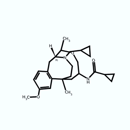 COc1ccc2c(c1)C1(C)CCN(CC3CC3)[C@H](C2)C(C)OCC(NC(=O)C2CC2)C1